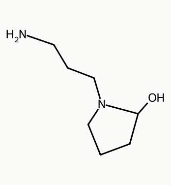 NCCCN1CCCC1O